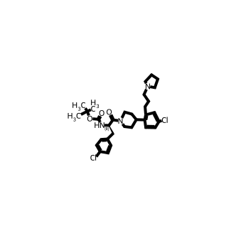 CC(C)(C)OC(=O)N[C@H](Cc1ccc(Cl)cc1)C(=O)N1CCC(c2ccc(Cl)cc2CCCN2CCCC2)CC1